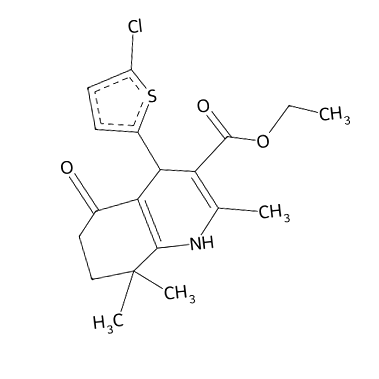 CCOC(=O)C1=C(C)NC2=C(C(=O)CCC2(C)C)C1c1ccc(Cl)s1